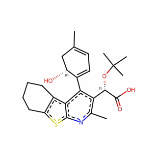 CC1=CC=C(c2c([C@H](OC(C)(C)C)C(=O)O)c(C)nc3sc4c(c23)CCCC4)[C@H](O)C1